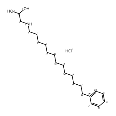 Cl.OC(O)CNCCCCCCCCCCCCCc1ccccc1